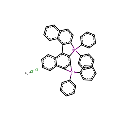 [Cl-].[Cl-].[Pd+2].c1ccc([PH]2(c3ccccc3)c3ccc4ccccc4c3-c3c2c2c(c4ccccc34)[PH]2(c2ccccc2)c2ccccc2)cc1